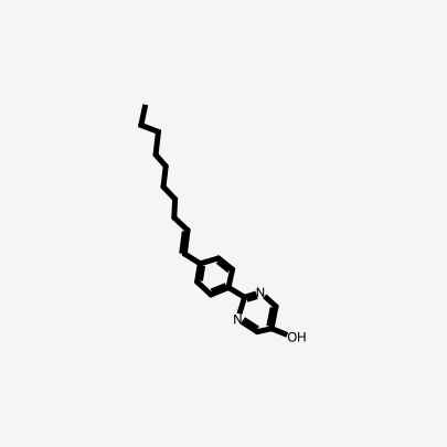 CCCCCCCCC=Cc1ccc(-c2ncc(O)cn2)cc1